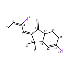 C=C1/C(=C\C(I)=C/C)C(C)(C)C2C=C(I)CCC12